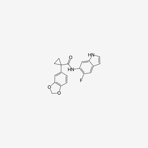 O=C(Nc1cc2[nH]ccc2cc1F)C1(c2ccc3c(c2)OCO3)CC1